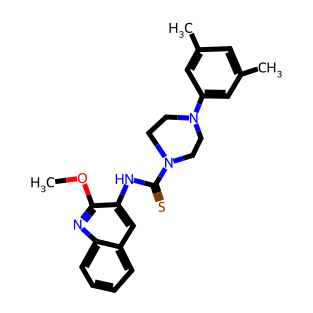 COc1nc2ccccc2cc1NC(=S)N1CCN(c2cc(C)cc(C)c2)CC1